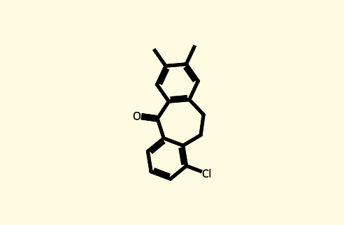 Cc1cc2c(cc1C)C(=O)c1cccc(Cl)c1CC2